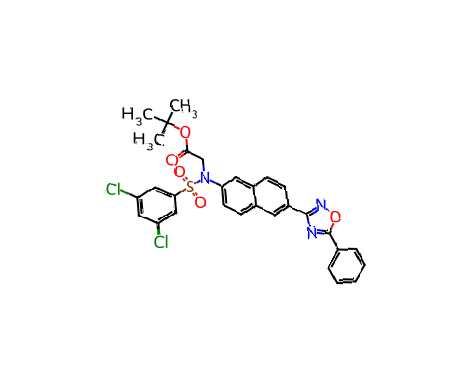 CC(C)(C)OC(=O)CN(c1ccc2cc(-c3noc(-c4ccccc4)n3)ccc2c1)S(=O)(=O)c1cc(Cl)cc(Cl)c1